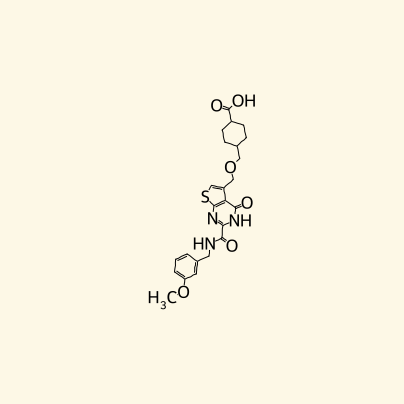 COc1cccc(CNC(=O)c2nc3scc(COCC4CCC(C(=O)O)CC4)c3c(=O)[nH]2)c1